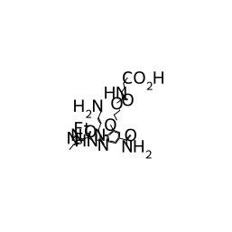 CCn1nc(C)cc1C(=O)Nc1nc2cc(C(N)=O)cc(OCCCOC(=O)NCCC(=O)O)c2n1C/C=C/CN